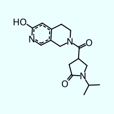 CC(C)N1CC(C(=O)N2CCc3cc(O)ncc3C2)CC1=O